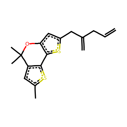 C=CCC(=C)Cc1cc2c(s1)-c1sc(C)cc1C(C)(C)O2